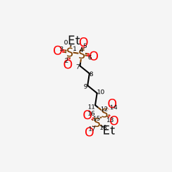 CCS(=O)(=O)S(=O)(=O)CCCCCS(=O)(=O)S(=O)(=O)CC